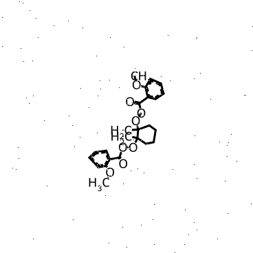 [CH2]C1(OOC(=O)c2ccccc2OC)CCCCC1([CH2])OOC(=O)c1ccccc1OC